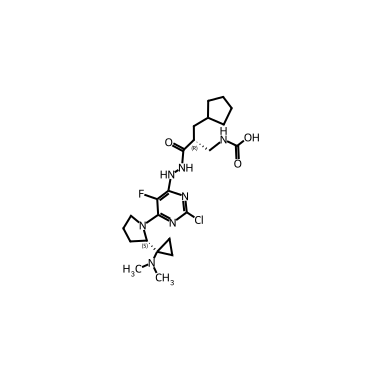 CN(C)C1([C@@H]2CCCN2c2nc(Cl)nc(NNC(=O)[C@@H](CNC(=O)O)CC3CCCC3)c2F)CC1